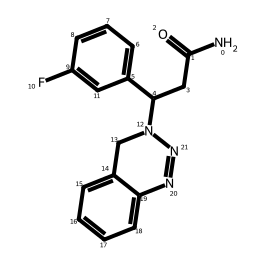 NC(=O)CC(c1cccc(F)c1)N1Cc2ccccc2N=N1